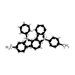 Cc1ccc(-n2c3ccccc3c3c2ccc2c4ccc(C)cc4n(-c4ccccc4)c23)cc1